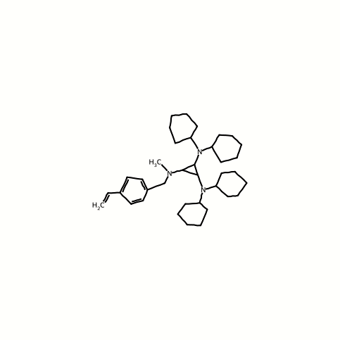 C=Cc1ccc(CN(C)C2C(N(C3CCCCC3)C3CCCCC3)C2N(C2CCCCC2)C2CCCCC2)cc1